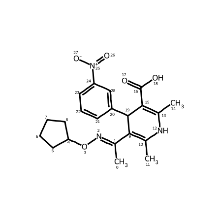 CC(=NOC1CCCC1)C1=C(C)NC(C)=C(C(=O)O)C1c1cccc([N+](=O)[O-])c1